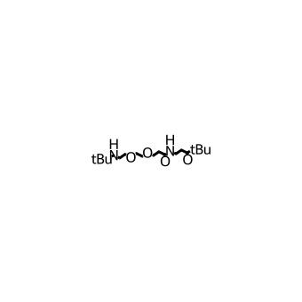 CC(C)(C)NCCOCCOCCC(=O)NCCC(=O)C(C)(C)C